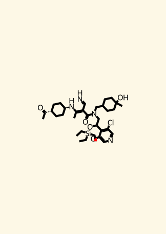 CC[Si](CC)(CC)OC(CN(CC1CCC(C)(O)CC1)C(=O)/C(C=N)=C(\C)N[C@H]1CC[C@H](C(C)=O)CC1)c1c(Cl)cncc1Cl